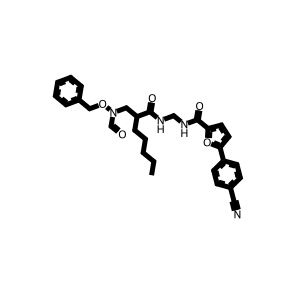 CCCCCC(CN(C=O)OCc1ccccc1)C(=O)NCNC(=O)c1ccc(-c2ccc(C#N)cc2)o1